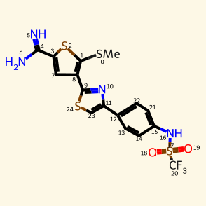 CSc1sc(C(=N)N)cc1-c1nc(-c2ccc(NS(=O)(=O)C(F)(F)F)cc2)cs1